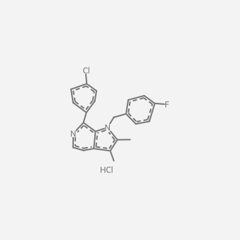 Cc1c(C)n(Cc2ccc(F)cc2)c2c(-c3ccc(Cl)cc3)nccc12.Cl